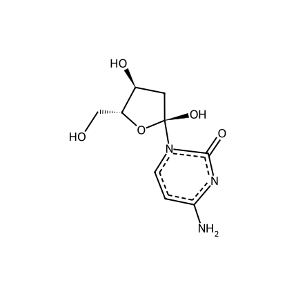 Nc1ccn([C@@]2(O)C[C@H](O)[C@@H](CO)O2)c(=O)n1